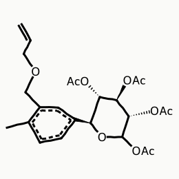 C=CCOCc1cc([C@@H]2OC(OC(C)=O)[C@@H](OC(C)=O)[C@H](OC(C)=O)[C@H]2OC(C)=O)ccc1C